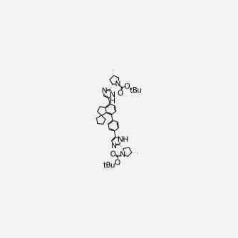 C[C@H]1C[C@@H](c2ncc(-c3ccc(-c4ccc(-c5cnc([C@@H]6C[C@H](C)CN6C(=O)OC(C)(C)C)[nH]5)c5c4C4(CCCC4)CC5)cc3)[nH]2)N(C(=O)OC(C)(C)C)C1